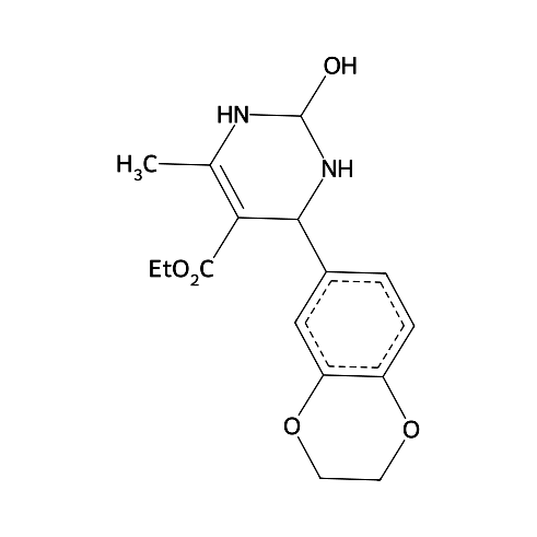 CCOC(=O)C1=C(C)NC(O)NC1c1ccc2c(c1)OCCO2